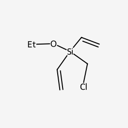 C=C[Si](C=C)(CCl)OCC